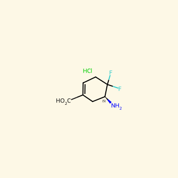 Cl.N[C@H]1CC(C(=O)O)=CCC1(F)F